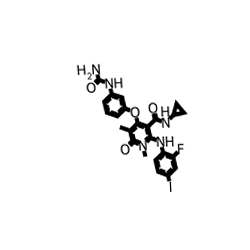 Cc1c(Oc2cccc(NC(N)=O)c2)c(C(=O)NC2CC2)c(Nc2ccc(I)cc2F)n(C)c1=O